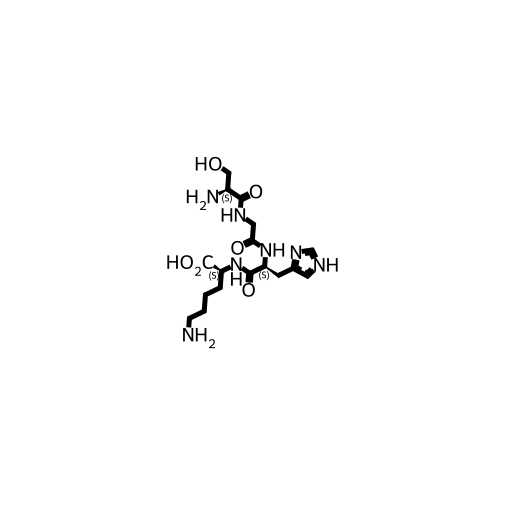 NCCCC[C@H](NC(=O)[C@H](Cc1c[nH]cn1)NC(=O)CNC(=O)[C@@H](N)CO)C(=O)O